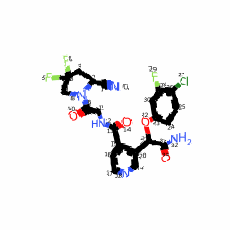 N#CC1CC(F)(F)CN1C(=O)CNC(=O)c1ccncc1C(Oc1ccc(Cl)c(F)c1)C(N)=O